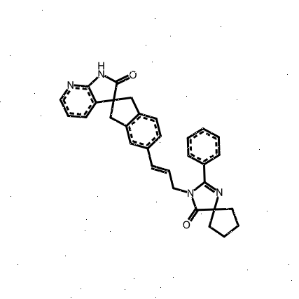 O=C1N(C/C=C/c2ccc3c(c2)CC2(C3)C(=O)Nc3ncccc32)C(c2ccccc2)=NC12CCCC2